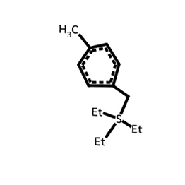 CCS(CC)(CC)Cc1ccc(C)cc1